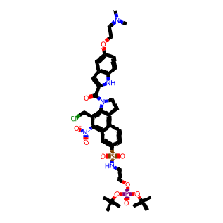 CN(C)CCOc1ccc2[nH]c(C(=O)N3CCc4c3c(CCl)c([N+](=O)[O-])c3cc(S(=O)(=O)NCCOP(=O)(OC(C)(C)C)OC(C)(C)C)ccc43)cc2c1